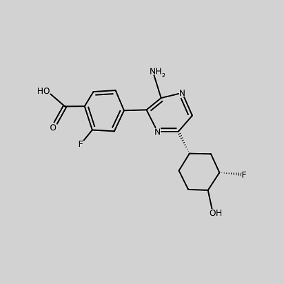 Nc1ncc([C@H]2CCC(O)[C@@H](F)C2)nc1-c1ccc(C(=O)O)c(F)c1